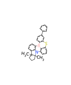 CC12CCC[C@@]1(C)c1cccc3c1N2c1cccc2c1B3c1ccc(-c3ccccc3)cc1S2